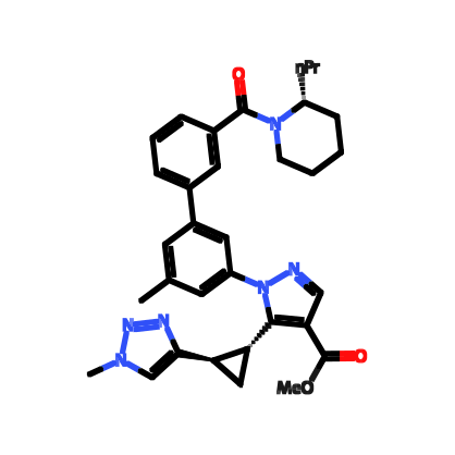 CCC[C@@H]1CCCCN1C(=O)c1cccc(-c2cc(C)cc(-n3ncc(C(=O)OC)c3[C@@H]3C[C@H]3c3cn(C)nn3)c2)c1